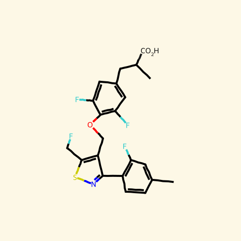 Cc1ccc(-c2nsc(CF)c2COc2c(F)cc(CC(C)C(=O)O)cc2F)c(F)c1